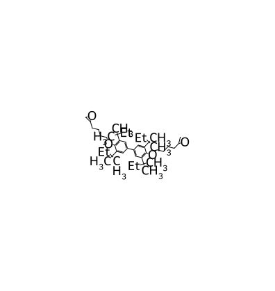 CCC(C)(C)c1cc(-c2cc(C(C)(C)CC)c(OCCCCC3CO3)c(C(C)(C)CC)c2)cc(C(C)(C)CC)c1OCCCCC1CO1